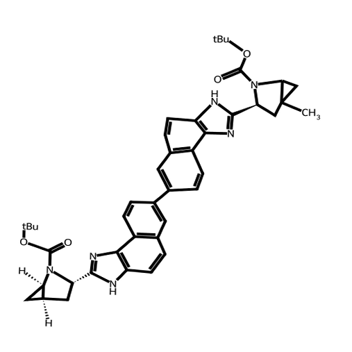 CC(C)(C)OC(=O)N1C2CC2(C)C[C@H]1c1nc2c(ccc3cc(-c4ccc5c(ccc6[nH]c([C@@H]7C[C@H]8C[C@H]8N7C(=O)OC(C)(C)C)nc65)c4)ccc32)[nH]1